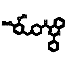 CCOc1cc(CN2CCC(Nc3nc(-c4ccccc4)nc4ccccc34)CC2)ccc1OC